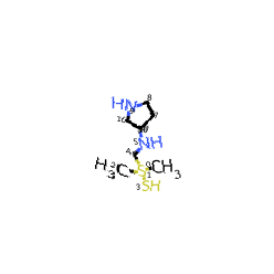 CS(C)(S)CN[C@@H]1CCNC1